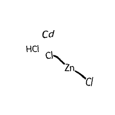 Cl.[Cd].[Cl][Zn][Cl]